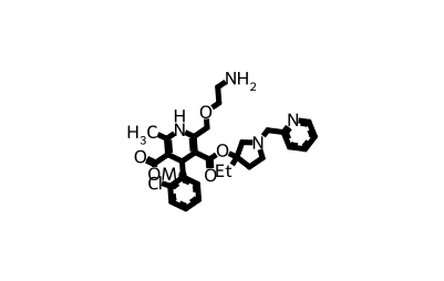 CCC1(OC(=O)C2=C(COCCN)NC(C)=C(C(=O)OC)C2c2ccccc2Cl)CCN(Cc2ccccn2)C1